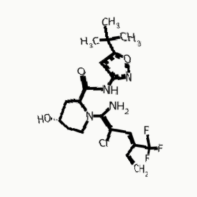 C=C/C(=C\C(Cl)=C(/N)N1CC[C@H](O)CC1C(=O)Nc1cc(C(C)(C)C)on1)C(F)(F)F